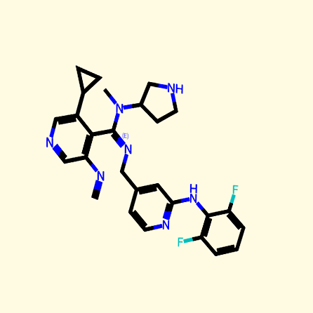 C=Nc1cncc(C2CC2)c1/C(=N\Cc1ccnc(Nc2c(F)cccc2F)c1)N(C)C1CCNC1